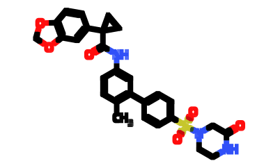 Cc1ccc(NC(=O)C2(c3ccc4c(c3)OCO4)CC2)cc1-c1ccc(S(=O)(=O)N2CCNC(=O)C2)cc1